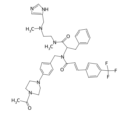 CC(=O)N1CCN(c2ccc(CN(C(=O)C=Cc3ccc(C(F)(F)F)cc3)C(Cc3ccccc3)C(=O)N(C)CCN(C)Cc3cnc[nH]3)cc2)CC1